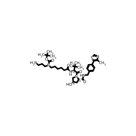 Cc1ncsc1-c1ccc(CNC(=O)[C@@H]2C[C@@H](O)CN2C(=O)[C@@H](NC(=O)CCCCCN(CCCN)C(=O)OC(C)(C)C)C(C)(C)C)cc1